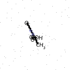 CCCCCC(O)C(C/C=C/C/C=C/CCCC[C]=O)[N+](=O)[O-]